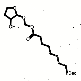 CCCCCCCCCCCCCCCCCC(=O)OCOC1OCCC1O